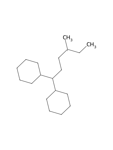 CC[C](C)CCC(C1CCCCC1)C1CCCCC1